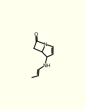 CC=CNC1C=CN2C(=O)CC12